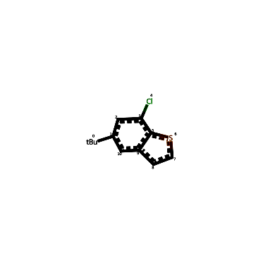 CC(C)(C)c1cc(Cl)c2sccc2c1